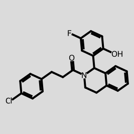 O=C(CCc1ccc(Cl)cc1)N1CCc2ccccc2C1c1cc(F)ccc1O